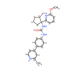 COc1cccc(C2(NC(=O)Nc3ccc(-c4ccnc(C)c4)cc3)CCCC2I)n1